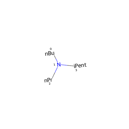 CCCCN(CCC)C(C)CCC